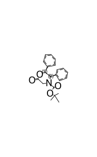 CC(C)(C)OC(=O)N1CC(=O)O[C@@H](c2ccccc2)[C@H]1c1ccccc1